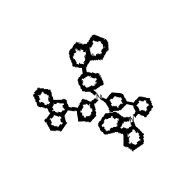 c1cc(-c2cc3ccccc3c3ccccc23)cc(N(c2ccc(-c3ccccc3-n3c4ccccc4c4ccccc43)cc2)c2ccc(-c3cccc4ccccc34)cc2)c1